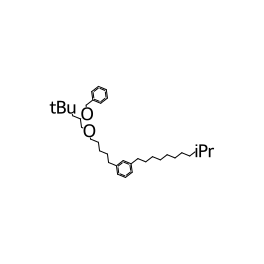 CC(C)CCCCCCCCc1cccc(CCCCCOCC(CC(C)(C)C)OCc2ccccc2)c1